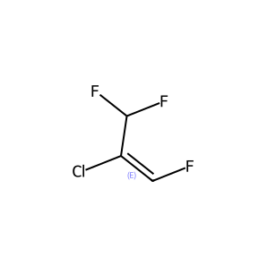 F/C=C(/Cl)C(F)F